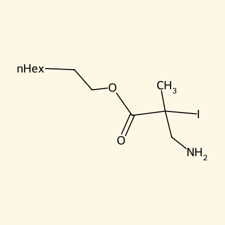 CCCCCCCCOC(=O)C(C)(I)CN